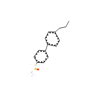 [CH2]CCc1ccc(-c2ccc(S(N)(=O)=O)cc2)cc1